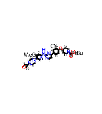 COc1cc(Nc2nccc(-c3ccc(OC4CCN(C(=O)OC(C)(C)C)CC4)c(C#N)c3)n2)ncc1N1CCN(C2COC2)CC1